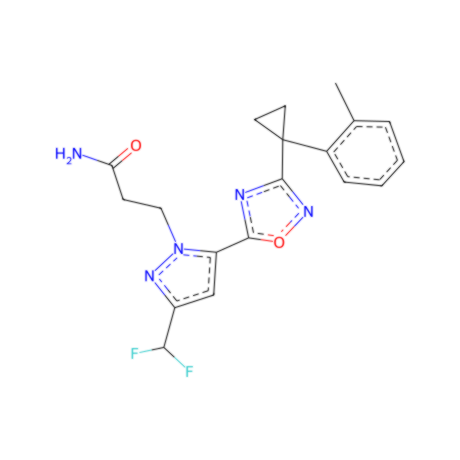 Cc1ccccc1C1(c2noc(-c3cc(C(F)F)nn3CCC(N)=O)n2)CC1